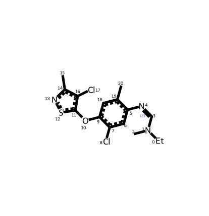 CCN(C)/C=N\c1cc(Cl)c(Oc2snc(C)c2Cl)cc1C